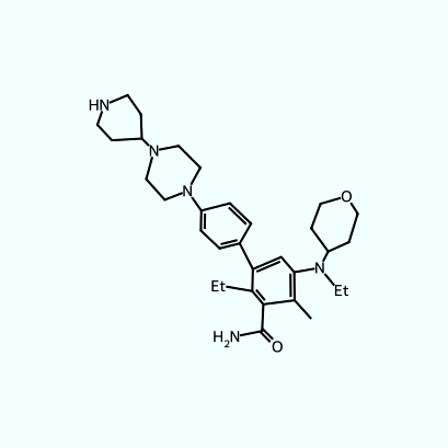 CCc1c(-c2ccc(N3CCN(C4CCNCC4)CC3)cc2)cc(N(CC)C2CCOCC2)c(C)c1C(N)=O